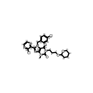 Cn1c(=O)n(CCCOC2CCCCO2)c(=O)c2c1nc(-c1nccnc1Cl)n2Cc1ccc(Cl)cc1